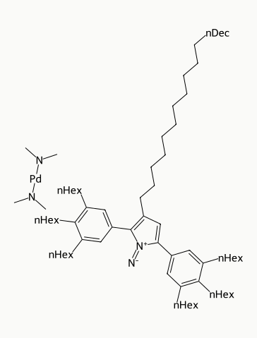 CCCCCCCCCCCCCCCCCCCCCC1=C(c2cc(CCCCCC)c(CCCCCC)c(CCCCCC)c2)[N+](=[N-])C(c2cc(CCCCCC)c(CCCCCC)c(CCCCCC)c2)=C1.C[N](C)[Pd][N](C)C